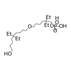 CCC(CC)(CCCCO)CCCCOCCCCC(CC)(CC)COP(=O)(O)O